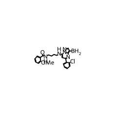 Bc1cnn2c(NCCCCNC(=O)c3ccccc3OC)cc(-c3ccccc3Cl)nc12